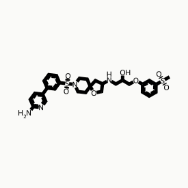 CS(=O)(=O)c1cccc(OCC(O)CNC2COC3(CCN(S(=O)(=O)c4cccc(-c5ccc(N)nc5)c4)CC3)C2)c1